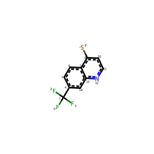 FC(F)(F)c1ccc2c([S])ccnc2c1